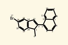 CC1C(c2cccc3ccccc23)=Cc2cc(Br)ccc21